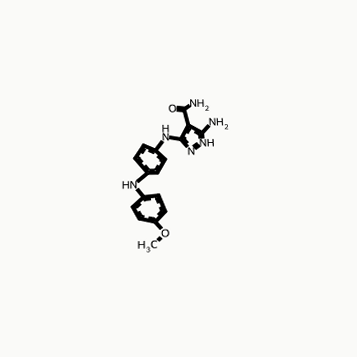 COc1ccc(Nc2ccc(Nc3n[nH]c(N)c3C(N)=O)cc2)cc1